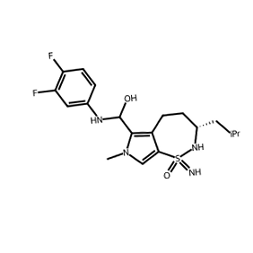 CC(C)C[C@H]1CCc2c(cn(C)c2C(O)Nc2ccc(F)c(F)c2)S(=N)(=O)N1